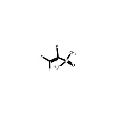 CP(C)(=O)C(F)=C(F)F